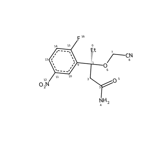 CC[C@@](CC(N)=O)(OCC#N)c1cc([N+](=O)[O-])ccc1F